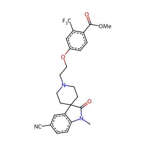 COC(=O)c1ccc(OCCN2CCC3(CC2)C(=O)N(C)c2ccc(C#N)cc23)cc1C(F)(F)F